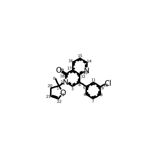 CC1(n2cc(-c3cccc(Cl)c3)c3ncccc3c2=O)CC=CO1